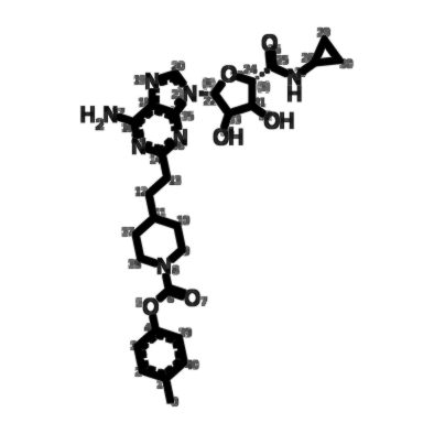 Cc1ccc(OC(=O)N2CCC(CCc3nc(N)c4ncn([C@@H]5O[C@H](C(=O)NC6CC6)C(O)C5O)c4n3)CC2)cc1